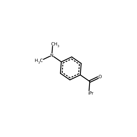 CC(C)C(=O)c1ccc(N(C)C)cc1